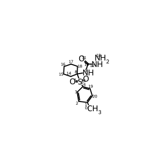 Cc1ccc(S(=O)(=O)C2(NC(=O)NN)CCCCC2)cc1